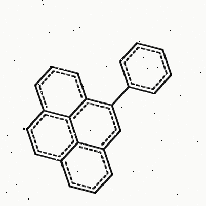 [c]1cc2cccc3cc(-c4ccccc4)c4cccc1c4c23